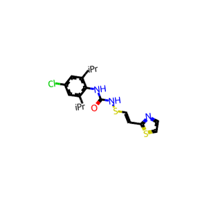 CC(C)c1cc(Cl)cc(C(C)C)c1NC(=O)NS/C=C/c1nccs1